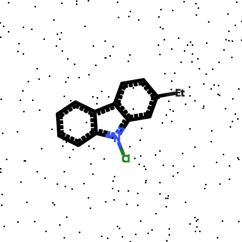 CCc1ccc2c3ccccc3n(Cl)c2c1